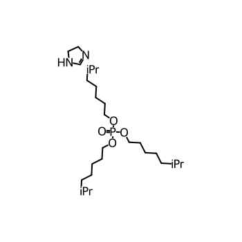 C1=NCCN1.CC(C)CCCCCOP(=O)(OCCCCCC(C)C)OCCCCCC(C)C